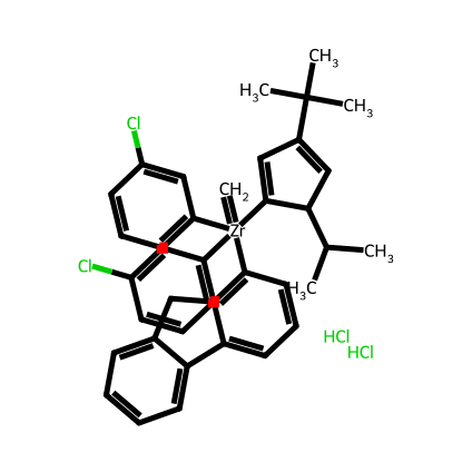 Cl.Cl.[CH2]=[Zr]([C]1=CC(C(C)(C)C)=CC1C(C)C)([c]1cccc(Cl)c1)([c]1cccc(Cl)c1)[c]1cccc2c1Cc1ccccc1-2